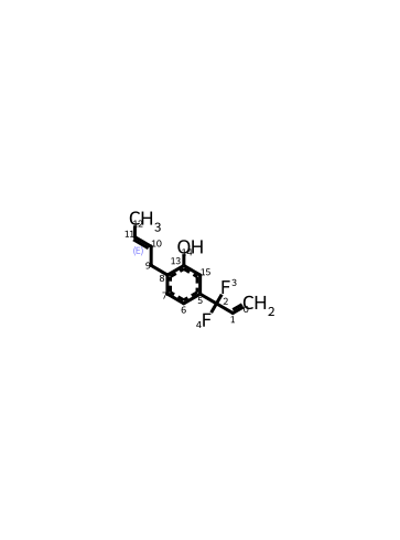 C=CC(F)(F)c1ccc(C/C=C/C)c(O)c1